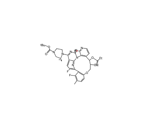 CCC(=O)OC1c2ccnc(C(C)C)c2-n2c(=O)nc(N3CCN(C(=O)OC(C)(C)C)C[C@@H]3C)c3cc(F)c(nc32)-c2c(ccc(C)c2F)OCC1O